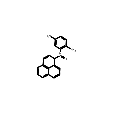 Nc1ccc(N)c([PH](=O)C2C=Cc3cccc4cccc2c34)c1